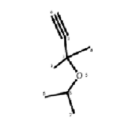 C#CC(C)(C)OC(C)C